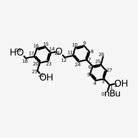 CCCCC(O)c1ccc(-c2cccc(COc3ccc(CO)c(CO)c3)c2)c(C)c1